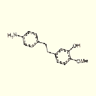 COc1ccc(CCc2ccc(N)cc2)cc1O